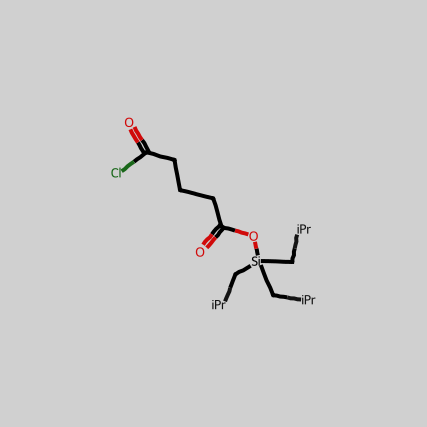 CC(C)C[Si](CC(C)C)(CC(C)C)OC(=O)CCCC(=O)Cl